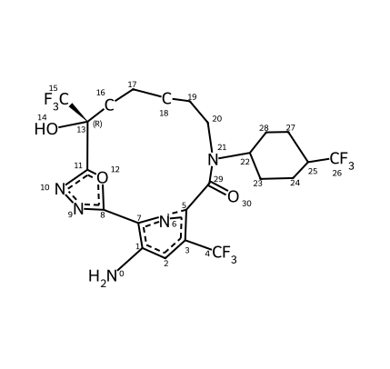 Nc1cc(C(F)(F)F)c2nc1-c1nnc(o1)[C@@](O)(C(F)(F)F)CCCCCN(C1CCC(C(F)(F)F)CC1)C2=O